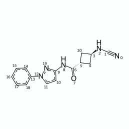 N#CN[C@H]1C[C@H](C(=O)Nc2ccn(-c3ccccc3)n2)C1